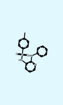 Cc1ccc(S(=O)(=O)Nc2cccnc2Nc2ccccc2)cc1